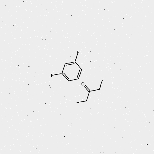 CCC(=O)CC.Fc1cccc(F)c1